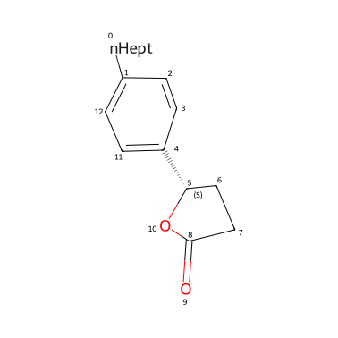 CCCCCCCc1ccc([C@@H]2CCC(=O)O2)cc1